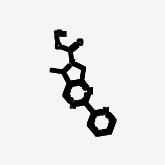 CC1c2cnc(-c3ccccn3)nc2CN1C(=O)OC(C)(C)C